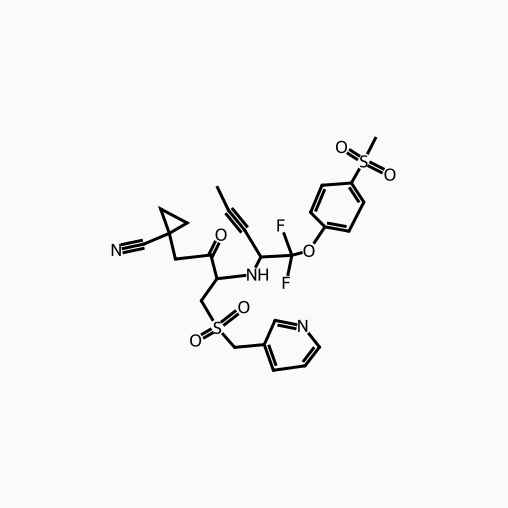 CC#CC(NC(CS(=O)(=O)Cc1cccnc1)C(=O)CC1(C#N)CC1)C(F)(F)Oc1ccc(S(C)(=O)=O)cc1